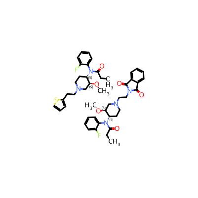 CCC(=O)N(c1ccccc1F)[C@H]1CCN(CCN2C(=O)c3ccccc3C2=O)C[C@@H]1OC.CCC(=O)N(c1ccccc1F)[C@H]1CCN(CCc2cccs2)C[C@@H]1OC